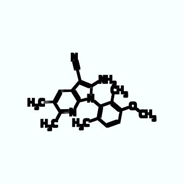 COc1ccc(C)c(-n2c(N)c(C#N)c3cc(C)c(C)nc32)c1C